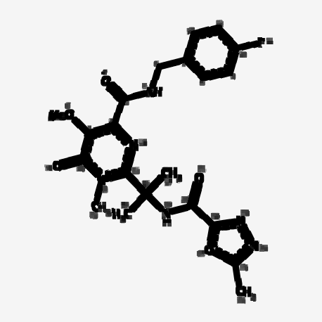 COc1c(C(=O)NCc2ccc(F)cc2)nc(C(C)(C)NC(=O)c2nnc(C)o2)n(C)c1=O